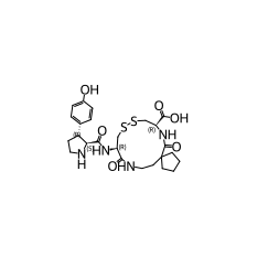 O=C(O)[C@@H]1CSSC[C@H](NC(=O)[C@H]2NCC[C@@H]2c2ccc(O)cc2)C(=O)NCCC2(CCCC2)C(=O)N1